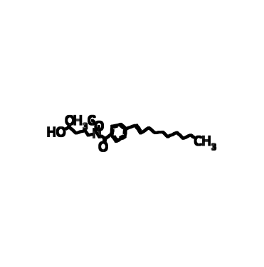 CCCCCCCCC=Cc1ccc(C(=O)N(CCCC(=O)O)OC)cc1